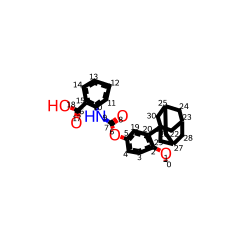 COc1ccc(OC(=O)Nc2ccccc2C(=O)O)cc1C12CC3CC(CC(C3)C1)C2